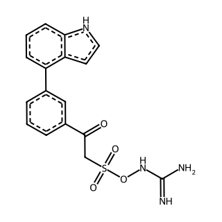 N=C(N)NOS(=O)(=O)CC(=O)c1cccc(-c2cccc3[nH]ccc23)c1